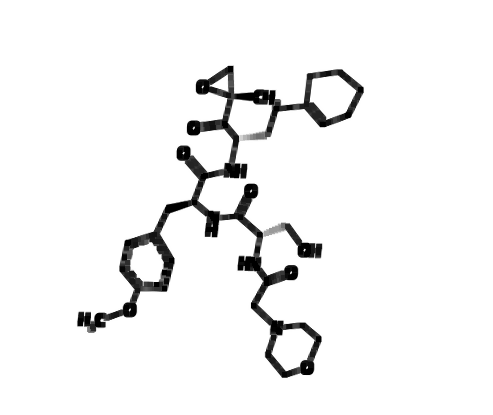 COc1ccc(C[C@H](NC(=O)[C@H](CO)NC(=O)CN2CCOCC2)C(=O)N[C@@H](CCC2=CCCCC2)C(=O)[C@@]2(C)CO2)cc1